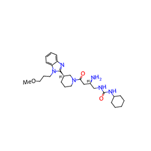 COCCCn1c([C@@H]2CCCN(C(=O)C[C@@H](N)CNC(=O)NC3CCCCC3)C2)nc2ccccc21